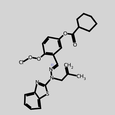 C=C(C)CN(/N=C/c1cc(OC(=O)C2CCCCC2)ccc1OOCl)c1nc2ccccc2s1